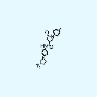 Cc1ccc(N2CC(C(=O)Nc3ccc(N4CCC(N(C)C)C4)cc3)CC2=O)cc1